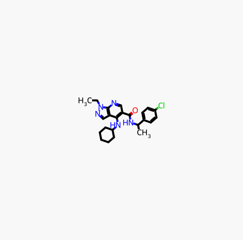 CCn1ncc2c(NC3CCCCC3)c(C(=O)NC(C)c3ccc(Cl)cc3)cnc21